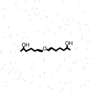 CC(O)CCCC=COC=CCCCC(C)O